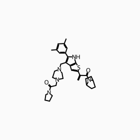 C=C(C(=O)N1C2CCC1CC2)c1cc2c(CN3CCN(CC(=O)N4CCCC4)CC3)c(-c3cc(C)cc(C)c3)[nH]c2s1